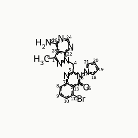 Cc1nn(Cc2nc3cccc(Br)c3c(=O)n2-n2cccc2)c2ncnc(N)c12